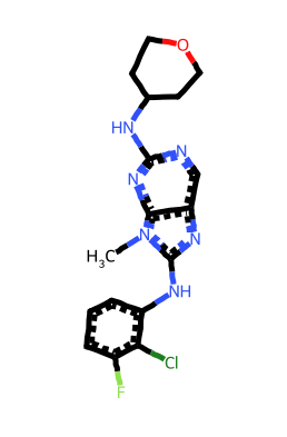 Cn1c(Nc2cccc(F)c2Cl)nc2cnc(NC3CCOCC3)nc21